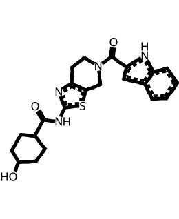 O=C(Nc1nc2c(s1)CN(C(=O)c1cc3ccccc3[nH]1)CC2)C1CCC(O)CC1